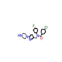 O=C(c1ccc(Cl)cc1)N(Cc1ccc(N2CCNCC2)nc1)c1ccc(F)cc1